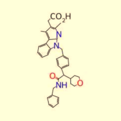 Cc1nc2c(c(C)c1CC(=O)O)c1ccccc1n2Cc1ccc(C(C(=O)NCc2ccccc2)C2CCOCC2)cc1